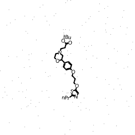 CCCc1ncc(OCCCOc2ccc(C3CN(CCC(=O)OC(C)(C)C)CCO3)cc2)s1